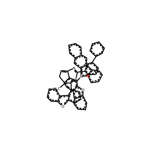 CC1C/C=C(c2ccc3c(oc4ccccc43)c2-n2c3ccccc3c3cc4ccccc4cc32)/N=C(c2cccc(-c3ccccc3)c2)\N=C/1c1cccc2oc3ccccc3c12